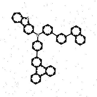 c1cc(-c2cccc(N(c3ccc(-c4ccc5c6ccccc6c6ccccc6c5c4)cc3)c3ccc4c(c3)sc3ccccc34)c2)cc(-c2cccc3ccccc23)c1